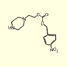 O=C(OCCN1CCNCC1)OCc1ccc([N+](=O)[O-])cc1